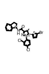 C[C@@H]1C(C(=O)NN2CCc3ccccc32)=NN(c2ccc(Cl)cc2Cl)[C@@H]1c1ccc(Br)s1